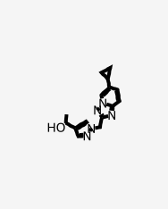 CC(O)c1cnn(Cc2nc3ccc(C4CC4)cn3n2)c1